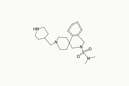 CN(C)S(=O)(=O)N1Cc2ccccc2C2(CCN(CC3CCNCC3)CC2)C1